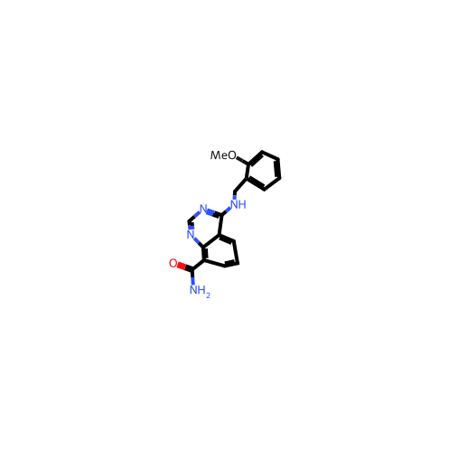 COc1ccccc1CNc1ncnc2c(C(N)=O)cccc12